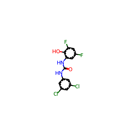 O=C(Nc1cc(Cl)cc(Cl)c1)Nc1cc(F)cc(F)c1O